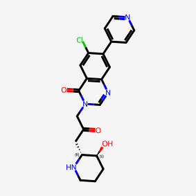 O=C(C[C@H]1NCCC[C@@H]1O)Cn1cnc2cc(-c3ccncc3)c(Cl)cc2c1=O